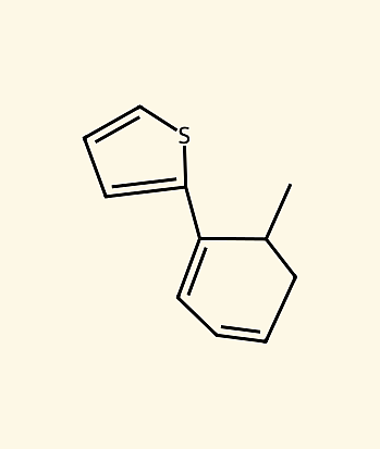 CC1CC=CC=C1c1cccs1